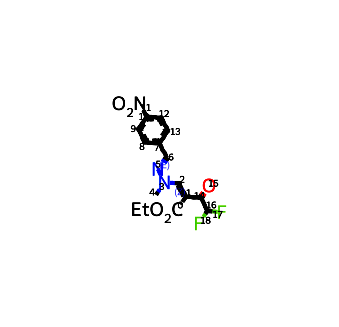 CCOC(=O)/C(=C\N(C)/N=C/c1ccc([N+](=O)[O-])cc1)C(=O)C(F)F